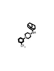 FC(F)(F)c1cccc(N2CCN(NC3C4CC5CC(C4)CC3C5)CC2)c1